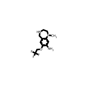 CN1CCNCc2cc(OCC(F)(F)F)c(N)cc21